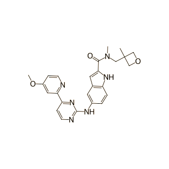 COc1ccnc(-c2ccnc(Nc3ccc4[nH]c(C(=O)N(C)CC5(C)COC5)cc4c3)n2)c1